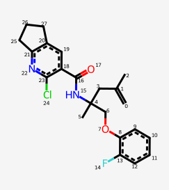 C=C(C)CC(C)(COc1ccccc1F)NC(=O)c1cc2c(nc1Cl)CCC2